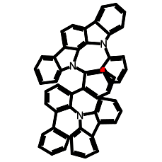 c1ccc(-c2cccc(-c3ccccc3-n3c4ccccc4c4ccc5c6ccccc6n(-c6ccccc6)c5c43)c2-n2c3ccccc3c3ccccc32)cc1